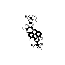 C[C@H]1Sc2cc(F)c(-c3nnc(C(C)(C)C)o3)cc2N(Cc2ccc(Cl)cc2)C(=O)[C@H]1NC(=O)OC(C)(C)C